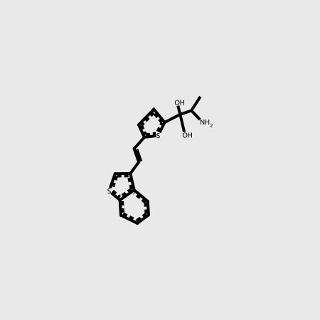 CC(N)C(O)(O)c1ccc(C=Cc2csc3ccccc23)s1